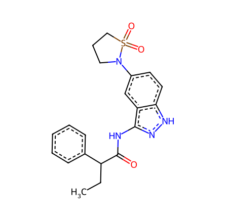 CCC(C(=O)Nc1n[nH]c2ccc(N3CCCS3(=O)=O)cc12)c1ccccc1